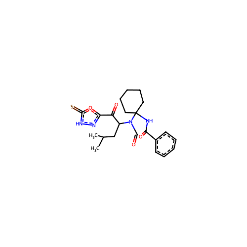 CC(C)CC(C(=O)c1n[nH]c(=S)o1)N(C=O)C1(NC(=O)c2ccccc2)CCCCC1